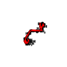 CCSSCO[C@H]1C[C@H](n2cc(C#CCNC(=O)OCCCCOCSSC(C)(C)CCOC(=O)NCCOCCOCCNC(=O)c3ccc(C(=O)O)c(-c4c5ccc(=N)c(S(=O)(=O)O)c-5oc5c(S(=O)(=O)O)c(N)ccc45)c3)c(N)nc2=O)O[C@@H]1COP(=O)(O)OP(=O)(O)OP(=O)(O)O